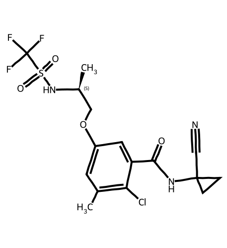 Cc1cc(OC[C@H](C)NS(=O)(=O)C(F)(F)F)cc(C(=O)NC2(C#N)CC2)c1Cl